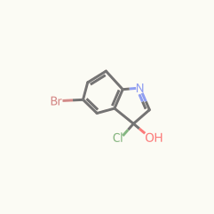 OC1(Cl)C=Nc2ccc(Br)cc21